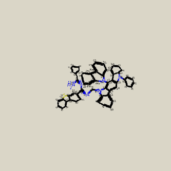 N/C(=N\C(=N/Cn1c2ccccc2c2cc3c(c(-n4c5ccccc5c5ccccc54)c21)c1ccccc1n3-c1ccccc1)c1ccc2c(c1)sc1ccccc12)c1ccccc1